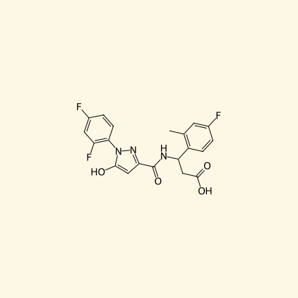 Cc1cc(F)ccc1C(CC(=O)O)NC(=O)c1cc(O)n(-c2ccc(F)cc2F)n1